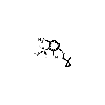 CC1(COc2ccc(N)c(S(N)(=O)=O)c2C#N)CC1